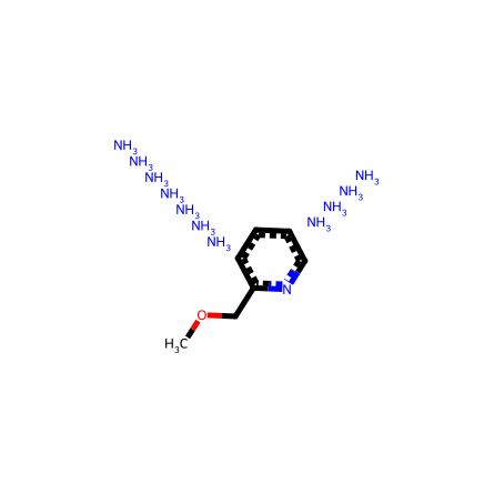 COCc1ccccn1.N.N.N.N.N.N.N.N.N.N.N